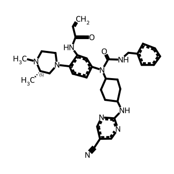 C=CC(=O)Nc1cc(N(C(=O)NCc2ccccc2)C2CCC(Nc3ncc(C#N)cn3)CC2)ccc1N1CCN(C)[C@@H](C)C1